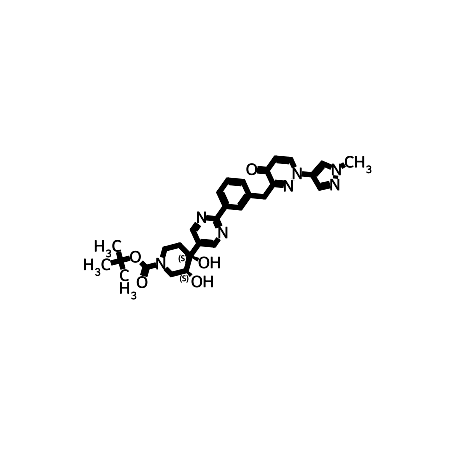 Cn1cc(-n2ccc(=O)c(Cc3cccc(-c4ncc([C@@]5(O)CCN(C(=O)OC(C)(C)C)C[C@@H]5O)cn4)c3)n2)cn1